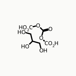 O=C(O)OC(=O)OC(=O)O.OCC(O)CO